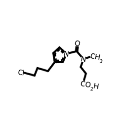 CN(CCC(=O)O)C(=O)n1ccc(CCCCl)c1